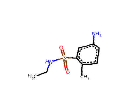 CCNS(=O)(=O)c1cc(N)ccc1C